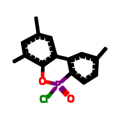 Cc1ccc2c(c1)-c1cc(C)cc(C)c1OP2(=O)Cl